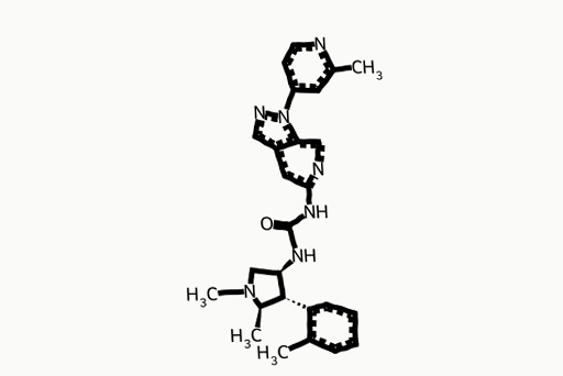 Cc1cc(-n2ncc3cc(NC(=O)N[C@@H]4CN(C)[C@H](C)[C@H]4c4ccccc4C)ncc32)ccn1